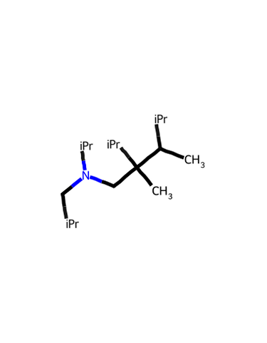 CC(C)CN(CC(C)(C(C)C)C(C)C(C)C)C(C)C